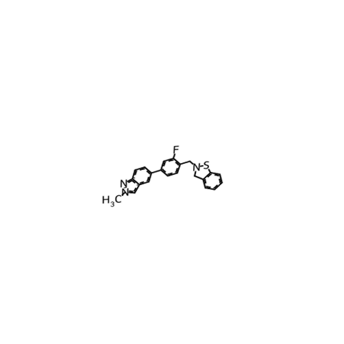 Cn1cc2cc(-c3ccc(CN4Cc5ccccc5S4)c(F)c3)ccc2n1